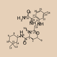 CCC[C@@H](C(=O)N[C@@H]1CCCC(C)(C)C1)N(I)C(=O)CNc1cc(C)ccc1C(=N)C(N)=O